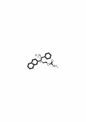 NC(=O)OCC[C@@H](c1ccc2ccccc2c1)[C@H](N)c1ccccc1